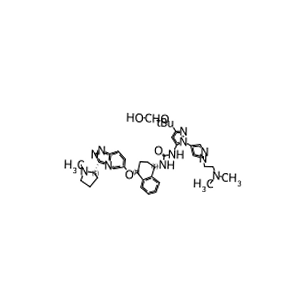 CN(C)CCn1cc(-n2nc(C(C)(C)C)cc2NC(=O)N[C@H]2CC[C@@H](Oc3ccc4nnc([C@@H]5CCCN5C)n4c3)c3ccccc32)cn1.O=CO